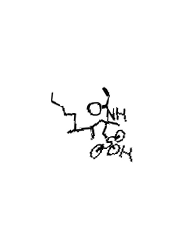 C=CC(=O)NC(C)(CC(C)C(C)CCCCC)CS(=O)(=O)O